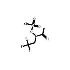 CC(=O)N(CC(F)(F)F)OS(=O)(=O)Cl